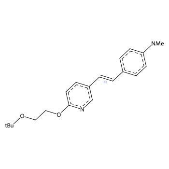 CNc1ccc(/C=C/c2ccc(OCCOC(C)(C)C)nc2)cc1